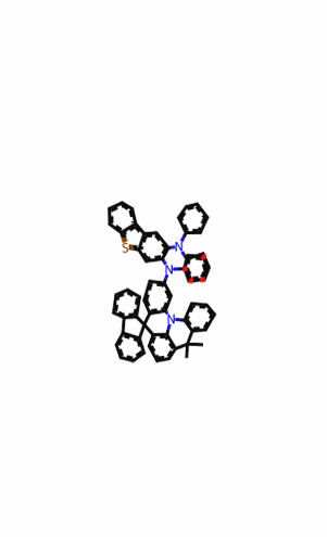 CC1(C)c2ccccc2N2c3cc(N(c4ccccc4)c4cc5sc6ccccc6c5cc4N(c4ccccc4)C4C=CC=CC4)ccc3C3(c4ccccc4-c4ccccc43)c3cccc1c32